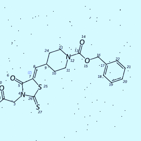 O=C(O)CN1C(=O)/C(=C/C2CCN(C(=O)OCc3ccccc3)CC2)SC1=S